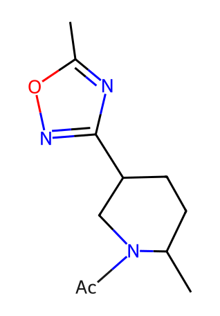 CC(=O)N1CC(c2noc(C)n2)CCC1C